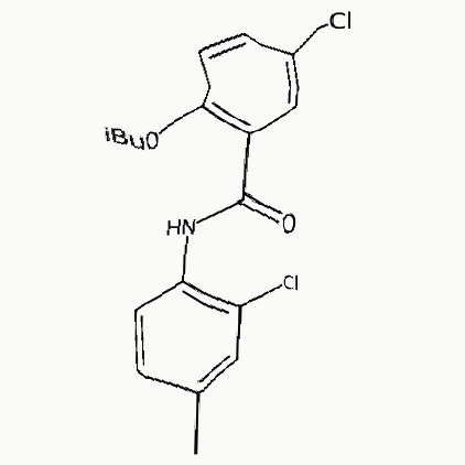 Cc1ccc(NC(=O)c2cc(Cl)ccc2OCC(C)C)c(Cl)c1